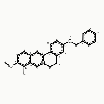 COc1ccc2cc3[n+](cc2c1C)CCc1cc(OCc2ccccc2)ccc1-3